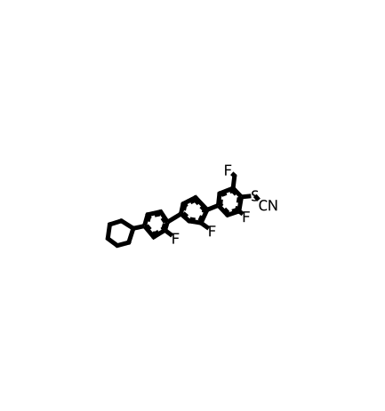 N#CSc1c(F)cc(-c2ccc(-c3ccc(C4CCCCC4)cc3F)cc2F)cc1CF